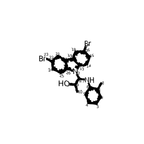 Cc1ccccc1NC(C(C)O)n1c2ccc(Br)cc2c2cc(Br)ccc21